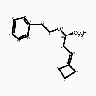 O=C(O)[C@@H](CC=C1CCC1)OCCc1ccccc1